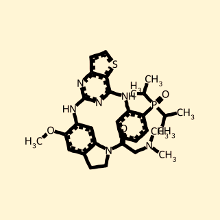 COc1cc2c(cc1Nc1nc(Nc3ccccc3P(=O)(C(C)C)C(C)C)c3sccc3n1)N(C(=O)CN(C)C)CC2